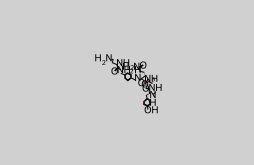 CC[C@H](NC(=O)[C@H](Cc1ccc(O)cc1)NC)C(=O)N[C@@H](CCC(N)=O)C(=O)NCc1ccc(CNC(=O)[C@@H](N)CCN)cc1